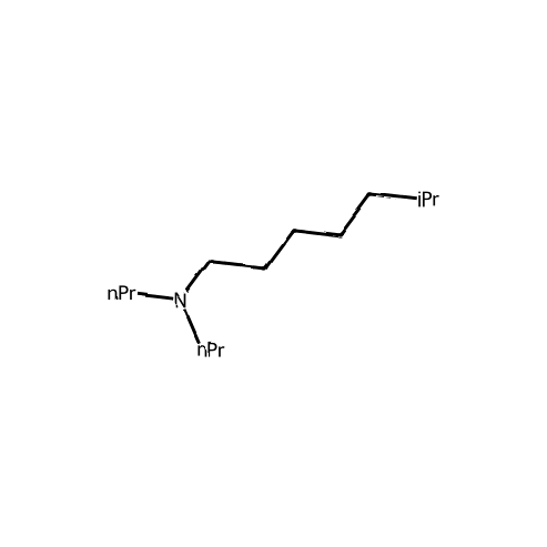 CCCN(CCC)CCCCCC(C)C